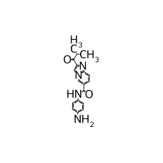 CC(C)C(=O)c1cn2cc(C(=O)Nc3ccc(N)cc3)ccc2n1